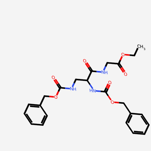 CCOC(=O)CNC(=O)C(CNC(=O)OCc1ccccc1)NC(=O)OCc1ccccc1